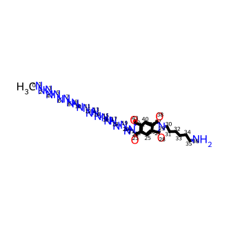 CN=NN=NN=NN=NN=NN=NN=NN=NN=NN=Nn1c(=O)c2cc3c(=O)n(CCCCCCN)c(=O)c3cc2c1=O